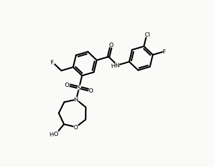 O=C(Nc1ccc(F)c(Cl)c1)c1ccc(CF)c(S(=O)(=O)N2CCOC(O)CC2)c1